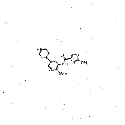 CSc1ccc(N2CCNCC2)cc1NC(=O)c1coc(N)n1